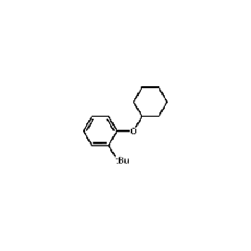 CC(C)(C)c1ccccc1OC1CCCCC1